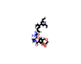 CCc1cc(-c2cccc(-c3csc(NC(=O)[C@@H]4CCN4C(=O)c4ccc5c(c4)S(=O)(=O)CCOC5)n3)c2)cc(CC)n1